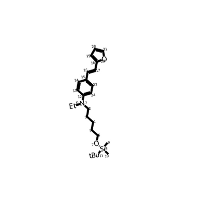 CCN(CCCCCO[Si](C)(C)C(C)(C)C)c1ccc(/C=C/c2ccco2)cc1